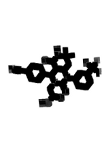 CC1(C)CC2=C(C(=O)N1)C(c1ccc(C#N)cc1)N(CC(=O)O)C(=O)N2c1cccc(C(F)(F)F)c1